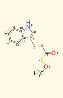 COSC(=O)CCc1c[nH]c2ccccc12